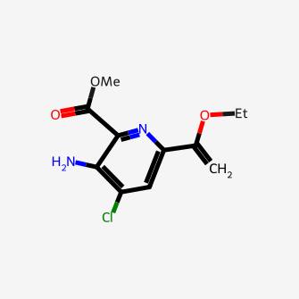 C=C(OCC)c1cc(Cl)c(N)c(C(=O)OC)n1